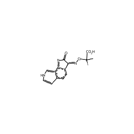 CC(C)(ON=C1C(=O)N=c2c1ccc1c2=CNC=C1)C(=O)O